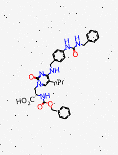 CCCc1cn(C[C@H](NC(=O)OCc2ccccc2)C(=O)O)c(=O)nc1NCc1ccc(NC(=O)NCc2ccccc2)cc1